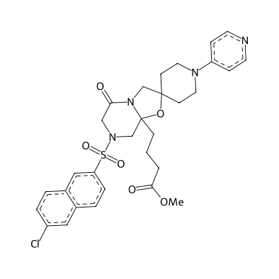 COC(=O)CCCC12CN(S(=O)(=O)c3ccc4cc(Cl)ccc4c3)CC(=O)N1CC1(CCN(c3ccncc3)CC1)O2